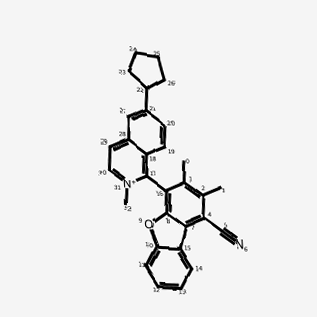 Cc1c(C)c(C#N)c2c(oc3ccccc32)c1-c1c2ccc(C3CCCC3)cc2cc[n+]1C